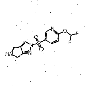 O=S(=O)(c1ccc(OC(F)F)nc1)n1cc2c(n1)CNC2